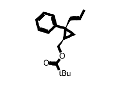 CC=C[C@@]1(c2ccccc2)C[C@H]1COC(=O)C(C)(C)C